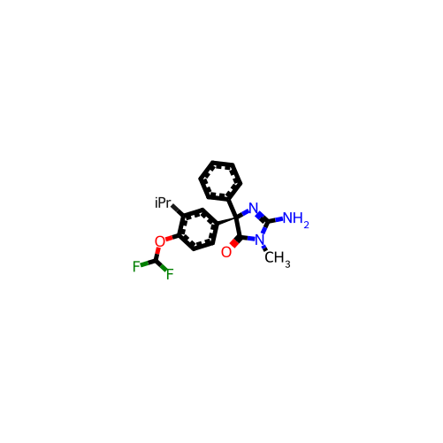 CC(C)c1cc([C@@]2(c3ccccc3)N=C(N)N(C)C2=O)ccc1OC(F)F